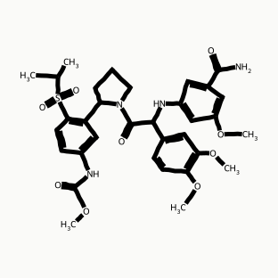 COC(=O)Nc1ccc(S(=O)(=O)C(C)C)c(C2CCCN2C(=O)C(Nc2cc(OC)cc(C(N)=O)c2)c2ccc(OC)c(OC)c2)c1